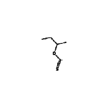 CCC(C)O[C]=S